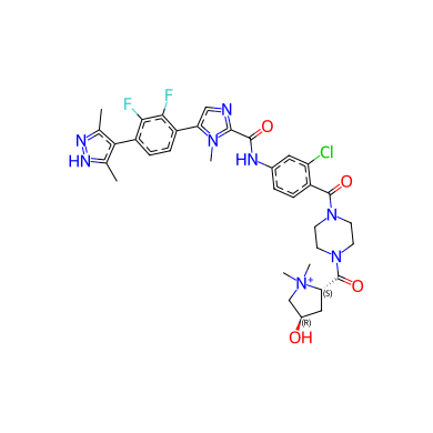 Cc1n[nH]c(C)c1-c1ccc(-c2cnc(C(=O)Nc3ccc(C(=O)N4CCN(C(=O)[C@@H]5C[C@@H](O)C[N+]5(C)C)CC4)c(Cl)c3)n2C)c(F)c1F